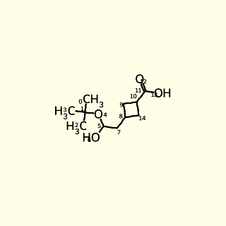 CC(C)(C)OC(O)CC1CC(C(=O)O)C1